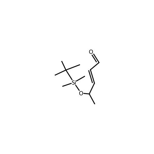 CC(C=CC=O)O[Si](C)(C)C(C)(C)C